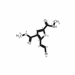 CNC(=O)c1cc(C(=O)OC)c(C=CBr)o1